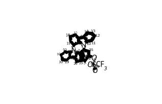 O=S(=O)(Oc1cccc(-n2c3ccccc3c3cccc(-n4c5ccccc5c5ccccc54)c32)c1)C(F)(F)F